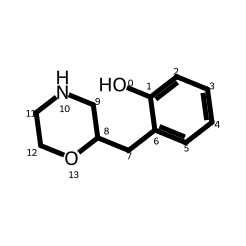 Oc1ccccc1CC1CNCCO1